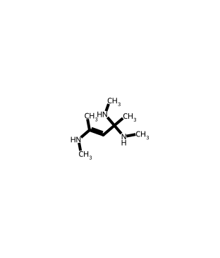 CNC(C)=CC(C)(NC)NC